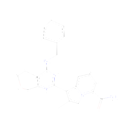 Cc1cn2c(C(N)=O)cccc2c1-c1nc2c(c(NCc3ccccc3)n1)CCOC2